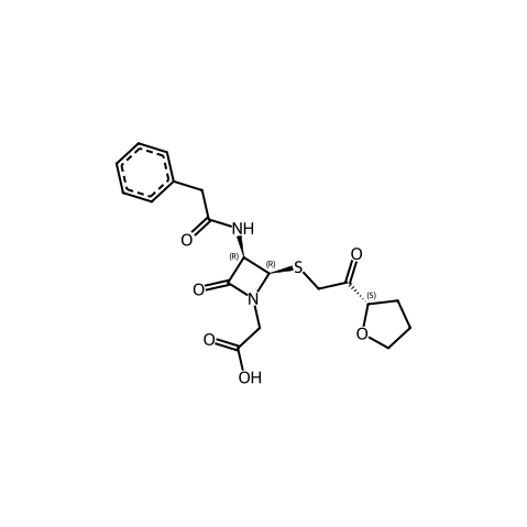 O=C(O)CN1C(=O)[C@@H](NC(=O)Cc2ccccc2)[C@H]1SCC(=O)[C@@H]1CCCO1